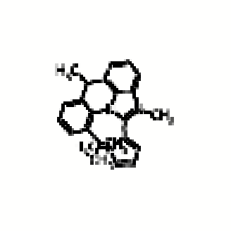 CC(C)c1cccc2c1-n1c(-c3cccn3C)[n+](C)c3cccc(c31)C2C